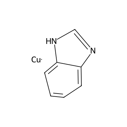 [Cu].c1ccc2[nH]cnc2c1